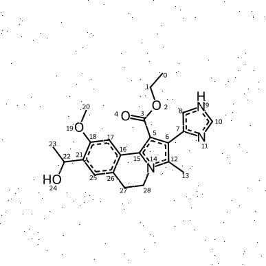 CCOC(=O)c1c(-c2c[nH]cn2)c(C)n2c1-c1cc(OC)c(C(C)O)cc1CC2